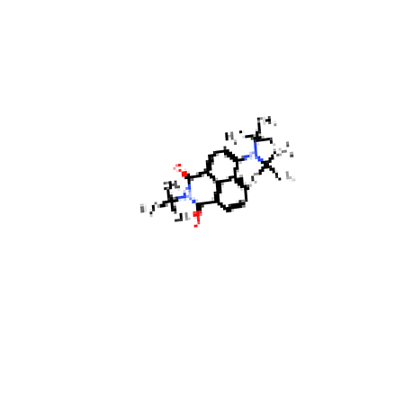 CC(C)(C)N1C(=O)c2cccc3c(N(C(C)(C)C)C(C)(C)C)ccc(c23)C1=O